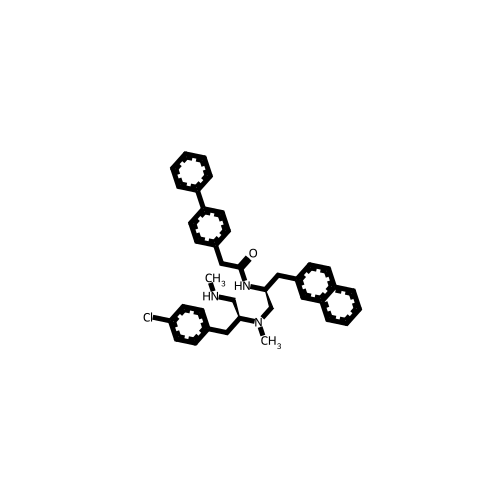 CNC[C@H](Cc1ccc(Cl)cc1)N(C)C[C@H](Cc1ccc2ccccc2c1)NC(=O)Cc1ccc(-c2ccccc2)cc1